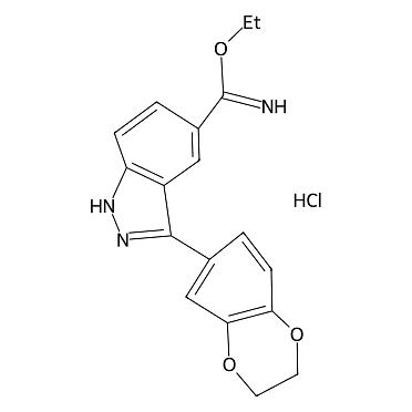 CCOC(=N)c1ccc2[nH]nc(-c3ccc4c(c3)OCCO4)c2c1.Cl